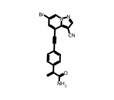 C=C(C(N)=O)c1ccc(C#Cc2cc(Br)cn3ncc(C#N)c23)cc1